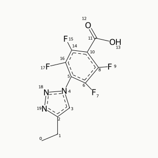 CCc1cn(-c2c(F)c(F)c(C(=O)O)c(F)c2F)nn1